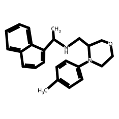 Cc1ccc(N2CCOCC2CNC(C)c2cccc3ccccc23)cc1